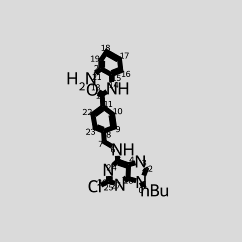 CCCCn1cnc2c(NCc3ccc(C(=O)Nc4ccccc4N)cc3)nc(Cl)nc21